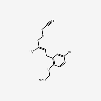 C#CCOC/C(C)=C/Cc1cc(Br)ccc1OCOC